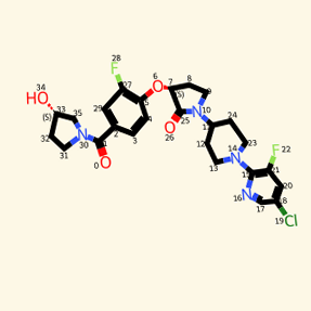 O=C(c1ccc(O[C@H]2CCN(C3CCN(c4ncc(Cl)cc4F)CC3)C2=O)c(F)c1)N1CC[C@H](O)C1